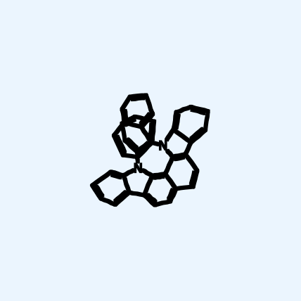 c1ccc(-n2c3ccccc3c3ccc4ccc5c6ccccc6n(-c6cccc7ccccc67)c5c4c32)cc1